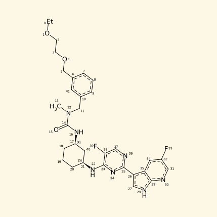 CCOCCOCc1cccc(CN(C)C(=O)N[C@@H]2CCC[C@H](Nc3nc(-c4c[nH]c5ncc(F)cc45)ncc3F)C2)c1